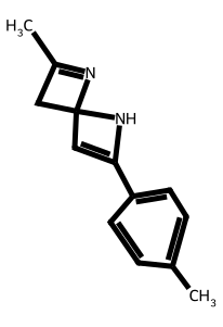 CC1=NC2(C=C(c3ccc(C)cc3)N2)C1